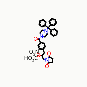 O=C(O)OC(Cc1ccc(C(=O)N2CCN(C(c3ccccc3)(c3ccccc3)c3ccccc3)CC2)cc1[N+](=O)[O-])CN1C(=O)CCC1=O